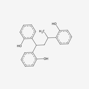 CC(CC(c1ccccc1O)c1ccccc1O)c1ccccc1O